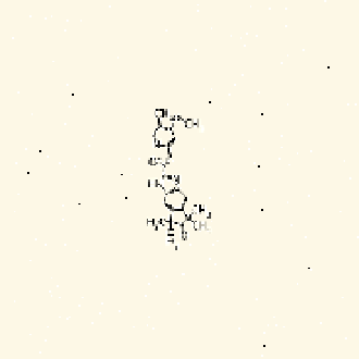 COc1cc(C[S+]([O-])c2nc3cc4c(cc3[nH]2)C(C)(C)C(=O)C4(C)C)ncc1C